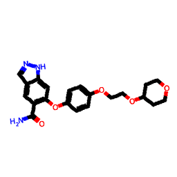 NC(=O)c1cc2cn[nH]c2cc1Oc1ccc(OCCOC2CCOCC2)cc1